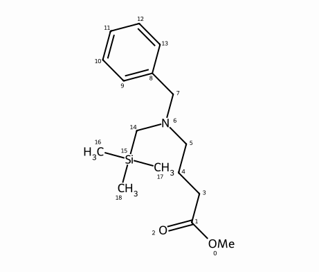 COC(=O)CCCN(Cc1ccccc1)C[Si](C)(C)C